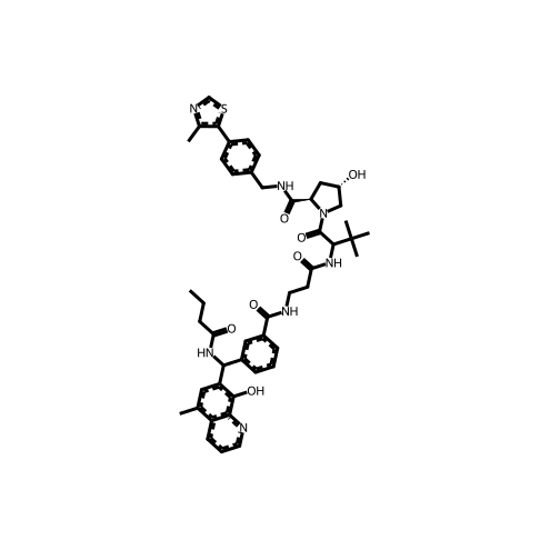 CCCC(=O)NC(c1cccc(C(=O)NCCC(=O)NC(C(=O)N2C[C@@H](O)C[C@@H]2C(=O)NCc2ccc(-c3scnc3C)cc2)C(C)(C)C)c1)c1cc(C)c2cccnc2c1O